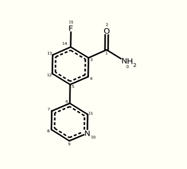 NC(=O)c1cc(-c2cccnc2)ccc1F